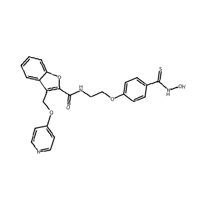 O=C(NCCOc1ccc(C(=S)NO)cc1)c1oc2ccccc2c1COc1ccncc1